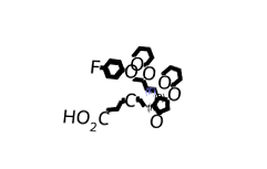 O=C(O)CCC=C=CC[C@H]1C(=O)CC(OC2CCCCO2)[C@@H]1/C=C/C(COc1ccc(F)cc1)OC1CCCCO1